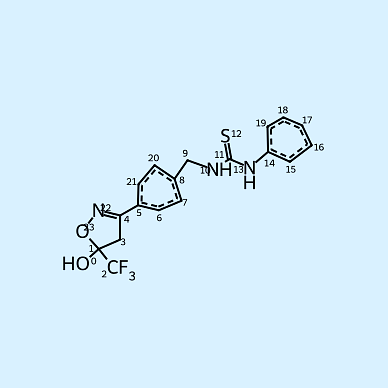 OC1(C(F)(F)F)CC(c2ccc(CNC(=S)Nc3ccccc3)cc2)=NO1